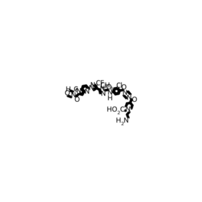 Cn1c(-c2cn(-c3ccc4c(cc(C(=O)N5CCOCC5)n4C)n3)nc2C(F)(F)F)cnc1C(=O)Nc1ccc(C(=O)N2CCN(C(=O)C3CC[N+](CCCN)(CC(=O)O)CC3)CC2)c(Cl)c1